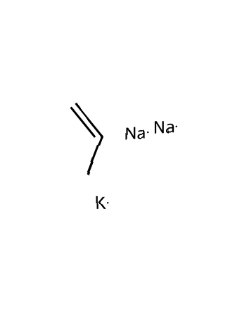 C=CC.[K].[Na].[Na]